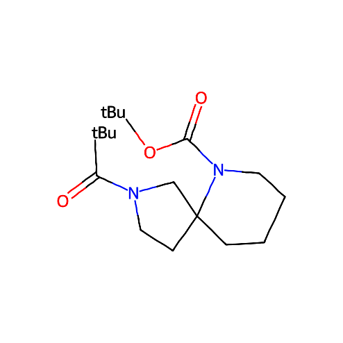 CC(C)(C)OC(=O)N1CCCCC12CCN(C(=O)C(C)(C)C)C2